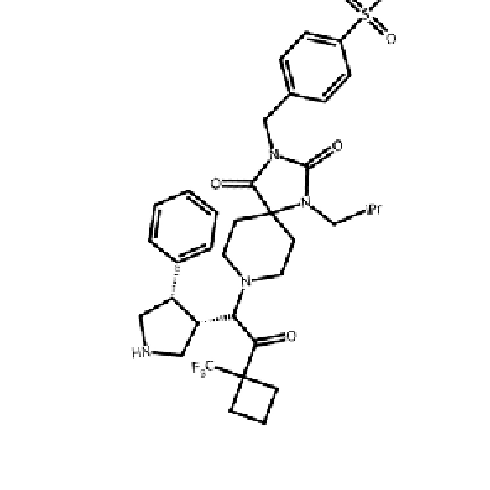 CC(C)CN1C(=O)N(Cc2ccc(S(C)(=O)=O)cc2)C(=O)C12CCN(C(C(=O)C1(C(F)(F)F)CCC1)[C@@H]1CNC[C@@H]1c1ccccc1)CC2